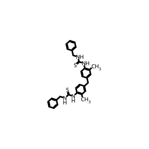 Cc1cc(Cc2ccc(NC(=S)NCc3ccccc3)c(C)c2)ccc1NC(=S)NCc1ccccc1